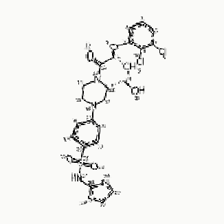 C[C@@H](Oc1cccc(Cl)c1Cl)C(=O)N1CCN(c2ccc(S(=O)(=O)Nc3nccs3)cc2)C[C@H]1CO